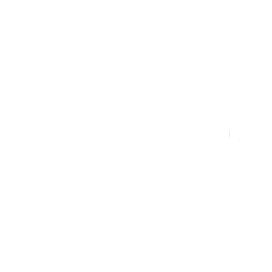 CCCCC(=O)C=CC1CCOCC1